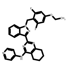 CCOc1cc(F)c(Cn2nc(-c3nc4c(c(Nc5ccncc5)n3)CCCC4)c3ccccc32)c(F)c1